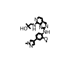 COc1cc(-c2cnn(C)c2)ccc1Nc1ncc2ccnc(NCC(C)(C)O)c2n1